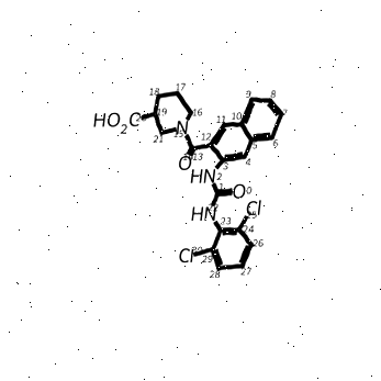 O=C(Nc1cc2ccccc2cc1C(=O)N1CCCC(C(=O)O)C1)Nc1c(Cl)cccc1Cl